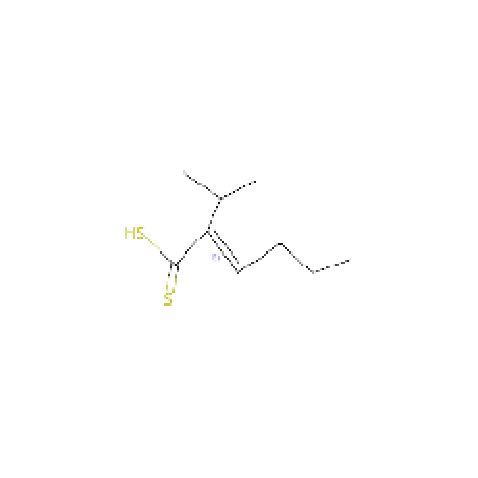 CCC/C=C(/C(=S)S)C(C)C